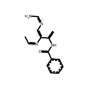 C=C(NC(=O)c1ccccc1)C(=C\N=C/N)/N=C\C